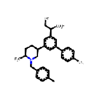 Cc1ccc(CN2CC(c3cc(-c4ccc(C(F)(F)F)cc4)cc(C(CC(C)C)C(=O)O)c3)CCC2C(F)(F)F)cc1